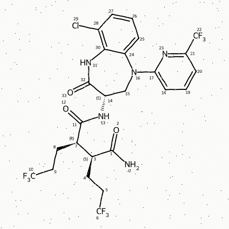 NC(=O)[C@@H](CCC(F)(F)F)[C@@H](CCC(F)(F)F)C(=O)N[C@H]1CN(c2cccc(C(F)(F)F)n2)c2cccc(Cl)c2NC1=O